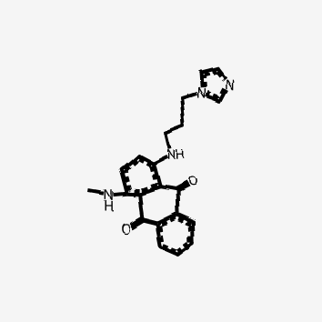 CNc1ccc(NCCCn2ccnc2)c2c1C(=O)c1ccccc1C2=O